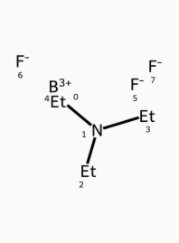 CCN(CC)CC.[B+3].[F-].[F-].[F-]